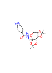 CC1(C)OC2COC3(CNC(=O)C4CCC(N)CC4)OC(C)(C)OC3C2O1